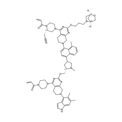 C=CC(=O)N1CCN(c2nc(OC[C@@H]3CC(c4ccc(N5CCc6c(nc(OCCCN7C[C@@H]8C[C@H]7CO8)nc6N6CCN(C(=O)C=C)[C@@H](CC#N)C6)C5)c5c(C)cccc45)CN3C)nc3c2CCN(c2c(C)c(C)cc4[nH]ccc24)C3)CC1